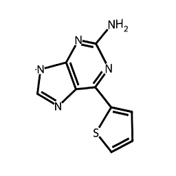 Nc1nc2c(c(-c3cccs3)n1)N=C[N]2